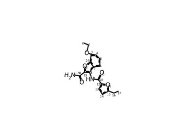 CCOc1cccc2c(NC(=O)c3ccc(CC)o3)c(C(N)=O)oc12